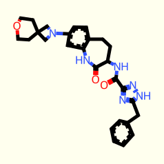 O=C(NC1CCc2ccc(N3CC4(CCOCC4)C3)cc2NC1=O)c1n[nH]c(Cc2ccccc2)n1